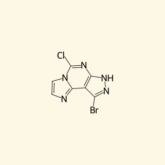 Clc1nc2[nH]nc(Br)c2c2nccn12